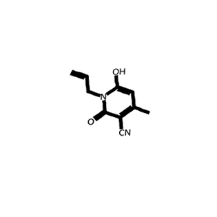 C=CCn1c(O)cc(C)c(C#N)c1=O